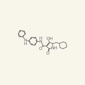 O=C(Nc1ccc(Nc2ccccc2)cc1)C1=C(O)C(CC2CCCCC2)NC1=O